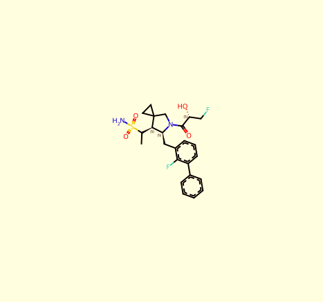 CC([C@@H]1[C@H](Cc2cccc(-c3ccccc3)c2F)N(C(=O)[C@H](O)CF)CC12CC2)S(N)(=O)=O